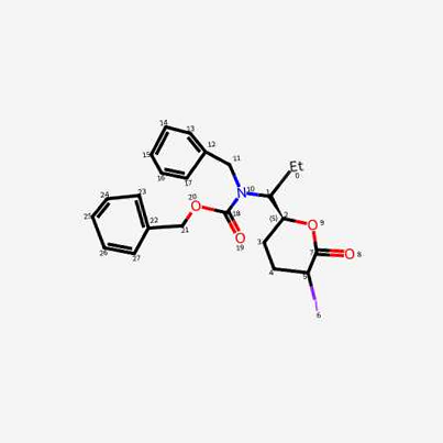 CCC([C@@H]1CCC(I)C(=O)O1)N(Cc1ccccc1)C(=O)OCc1ccccc1